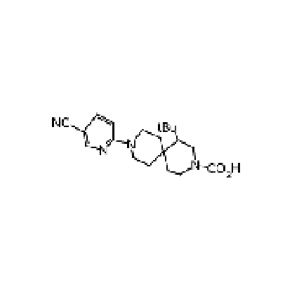 CC(C)(C)C1CN(C(=O)O)CCC12CCN(c1ccc(C#N)cn1)CC2